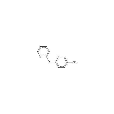 FC(F)(F)c1ccc(Sc2cc[c]cn2)nc1